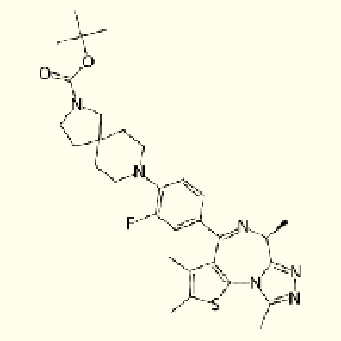 Cc1sc2c(c1C)C(c1ccc(N3CCC4(CCN(C(=O)OC(C)(C)C)C4)CC3)c(F)c1)=N[C@@H](C)c1nnc(C)n1-2